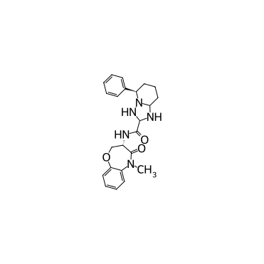 CN1C(=O)[C@@H](NC(=O)C2NC3CCC[C@H](c4ccccc4)N3N2)COc2ccccc21